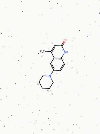 C[C@@H]1C[C@H](C)CN(c2ccc3[nH]c(=O)cc(C(F)(F)F)c3c2)C1